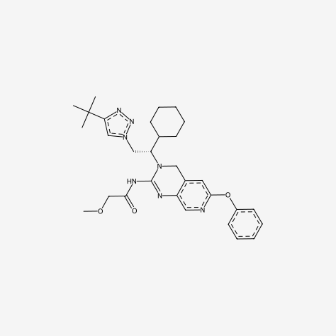 COCC(=O)NC1=Nc2cnc(Oc3ccccc3)cc2CN1[C@H](Cn1cc(C(C)(C)C)nn1)C1CCCCC1